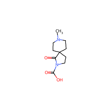 CN1CCC2(CC1)CCN(C(=O)O)C2=O